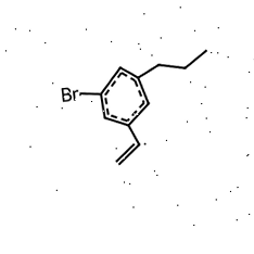 C=[C]c1cc(Br)cc(CCC)c1